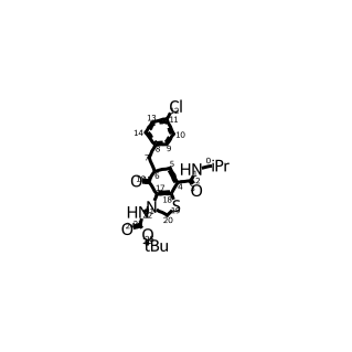 CC(C)NC(=O)C1=CC(Cc2ccc(Cl)cc2)C(=O)C2=C1SCN2NC(=O)OC(C)(C)C